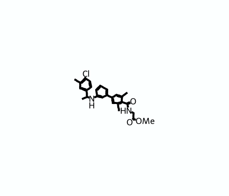 COC(=O)CNC(=O)c1c(C)cc(-c2cccc(NC(C)c3ccc(Cl)c(C)c3)c2)cc1C